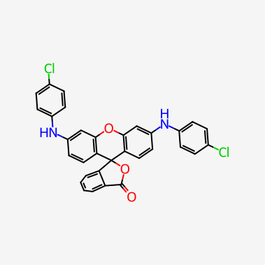 O=C1OC2(c3ccc(Nc4ccc(Cl)cc4)cc3Oc3cc(Nc4ccc(Cl)cc4)ccc32)c2ccccc21